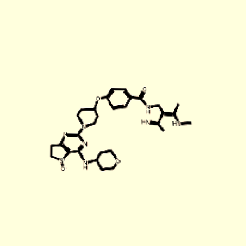 CN/C(C)=C(/CNC(=O)c1ccc(OC2CCN(c3nc4c(c(NC5CCOCC5)n3)[S+]([O-])CC4)CC2)cc1)C(C)=N